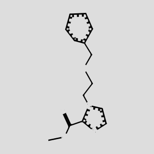 COC(=O)c1nccn1CCOCc1ccccc1